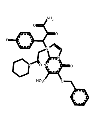 NC(=O)C(=O)C(c1ccc(F)cc1)[N+]1(CC(=O)N2CCCCC2)C=Cn2c1nc(C(=O)O)c(OCc1ccccc1)c2=O